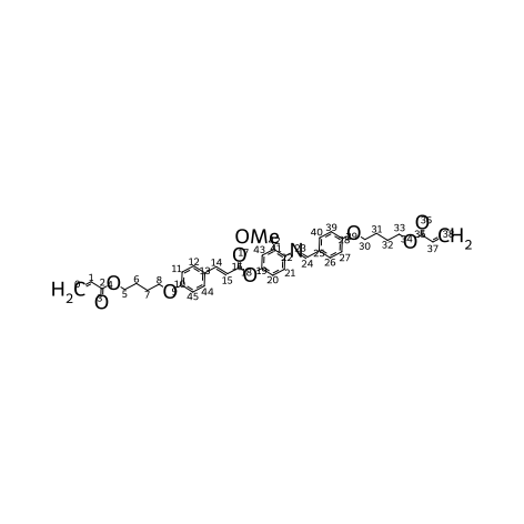 C=CC(=O)OCCCCOc1ccc(/C=C/C(=O)Oc2ccc(/N=C/c3ccc(OCCCCOC(=O)C=C)cc3)c(OC)c2)cc1